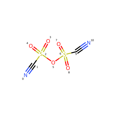 N#CS(=O)(=O)OS(=O)(=O)C#N